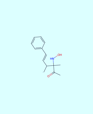 [CH2]C(C=Cc1ccccc1)C(C)(NO)C(C)=O